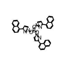 c1ccc2c(-c3ccn(OB(On4ccc(-c5cccc6ccccc56)n4)On4ccc(-c5cccc6ccccc56)n4)n3)cccc2c1